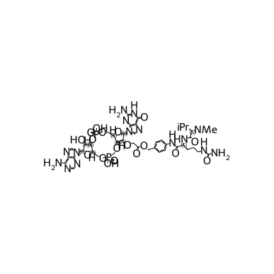 CN[C@H](C(=O)N[C@@H](CCCNC(N)=O)C(=O)Nc1ccc(COC(=O)CO[C@@H]2[C@@H]3OCP(=O)(O)OC[C@H]4O[C@@H](n5cnc6c(N)ncnc65)[C@H](O)[C@@H]4OP(=O)(O)OC[C@H]3O[C@H]2n2cnc3c(=O)[nH]c(N)nc32)cc1)C(C)C